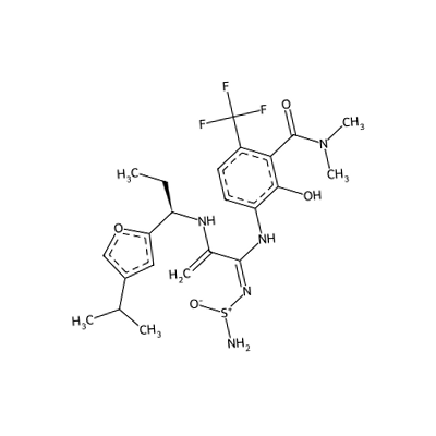 C=C(N[C@H](CC)c1cc(C(C)C)co1)/C(=N\[S+](N)[O-])Nc1ccc(C(F)(F)F)c(C(=O)N(C)C)c1O